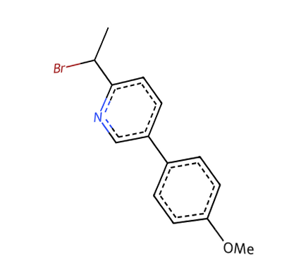 COc1ccc(-c2ccc(C(C)Br)nc2)cc1